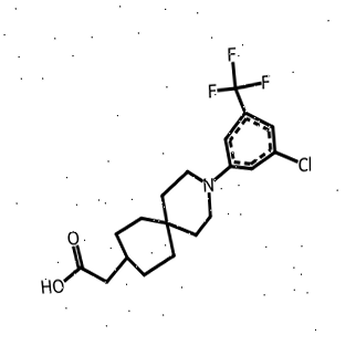 O=C(O)CC1CCC2(CC1)CCN(c1cc(Cl)cc(C(F)(F)F)c1)CC2